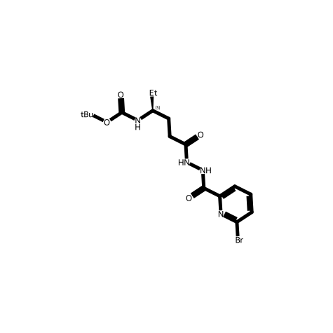 CC[C@@H](CCC(=O)NNC(=O)c1cccc(Br)n1)NC(=O)OC(C)(C)C